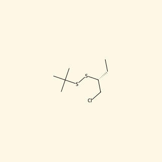 CC[C@H](CCl)SSC(C)(C)C